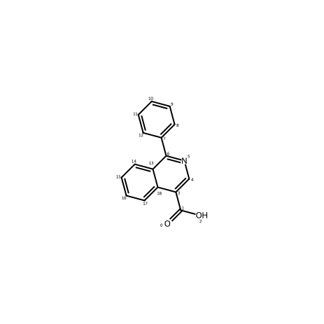 O=C(O)c1cnc(-c2ccccc2)c2ccccc12